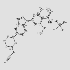 COc1cc(-n2cnc3cc(C4CCCN(CC#N)C4)ccc32)cc(OC)c1C(=O)NCC(F)(F)F